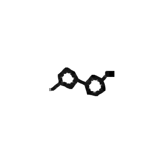 [CH2]c1cccc(-c2cccc(O)c2)c1